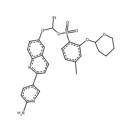 CCC(Oc1ccc2nc(-c3ccc(N)nc3)ccc2c1)OS(=O)(=O)c1ccc(C)cc1OC1CCCCO1